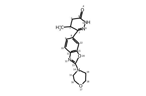 CC1CC(=O)NN=C1c1ccc2nc(N3CCOCC3)oc2c1